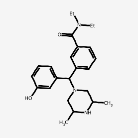 CCN(CC)C(=O)c1cccc(C(c2cccc(O)c2)N2CC(C)NC(C)C2)c1